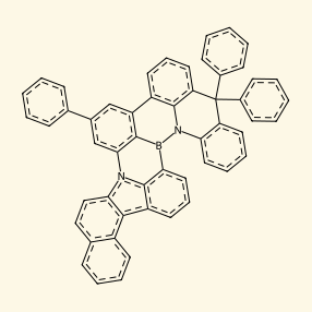 c1ccc(-c2cc3c4c(c2)-n2c5ccc6ccccc6c5c5cccc(c52)B4N2c4ccccc4C(c4ccccc4)(c4ccccc4)c4cccc-3c42)cc1